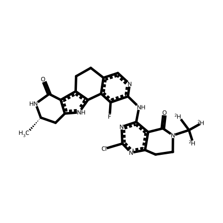 [2H]C([2H])([2H])N1CCc2nc(Cl)nc(Nc3ncc4c(c3F)-c3[nH]c5c(c3CC4)C(=O)N[C@@H](C)C5)c2C1=O